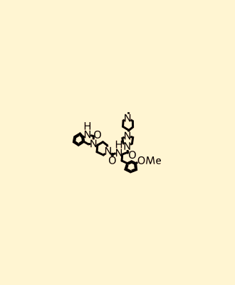 COc1cccc(CC(NC(=O)N2CCC(N3Cc4ccccc4NC3=O)CC2)C(=O)N2CCN(C3CCN(C)CC3)CC2)c1